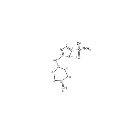 NS(=O)(=O)c1ccc(S[C@H]2CC[C@H](O)CC2)s1